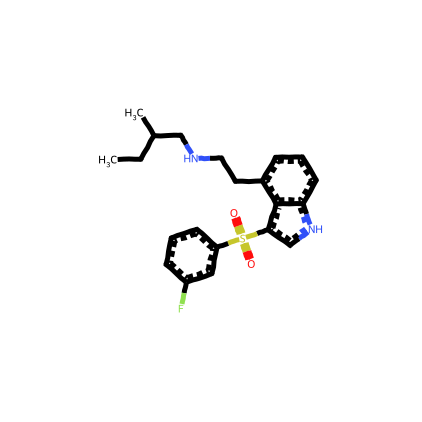 CCC(C)CNCCc1cccc2[nH]cc(S(=O)(=O)c3cccc(F)c3)c12